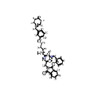 CN(/N=C/c1ccccc1)/C(=N\C(=O)CN1C(=O)c2ccccc2C1=O)NCCCOc1cccc(CN2CCCCC2)c1